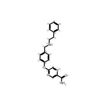 NC(=O)c1cnc(Oc2ccc(CNCCc3ccccc3)cc2)cn1